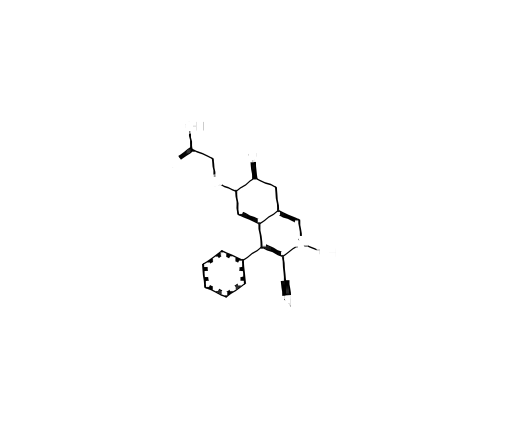 CN1C=C2CC(=O)C(OCC(=O)O)C=C2C(c2ccccc2)=C1C#N